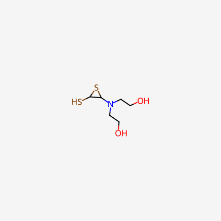 OCCN(CCO)C1SC1S